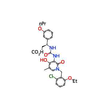 CCCOc1cccc([C@H](CC(=O)O)NC(=O)Nc2c(O)c(C)cn(Cc3c(Cl)cccc3OCC)c2=O)c1